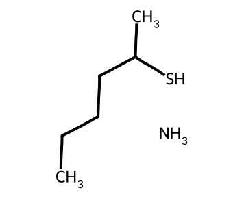 CCCCC(C)S.N